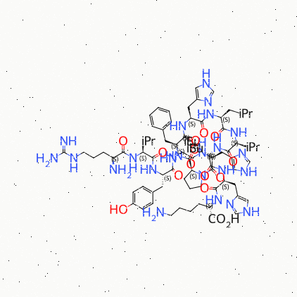 CC[C@H](C)[C@H](NC(=O)[C@H](Cc1ccc(O)cc1)NC(=O)[C@@H](NC(=O)[C@@H](N)CCCNC(=N)N)C(C)C)C(=O)N[C@@H](Cc1c[nH]cn1)C(=O)N1CCC[C@H]1C(=O)N[C@@H](Cc1ccccc1)C(=O)N[C@@H](Cc1c[nH]cn1)C(=O)N[C@@H](CC(C)C)C(=O)N[C@H](C(=O)N[C@H](C(=O)N[C@@H](Cc1c[nH]cn1)C(=O)N[C@@H](CCCCN)C(=O)O)[C@@H](C)CC)C(C)C